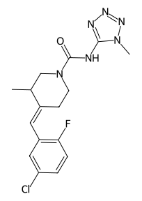 CC1CN(C(=O)Nc2nnnn2C)CCC1=Cc1cc(Cl)ccc1F